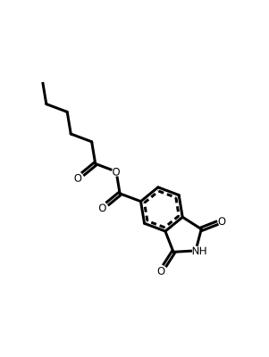 CCCCCC(=O)OC(=O)c1ccc2c(c1)C(=O)NC2=O